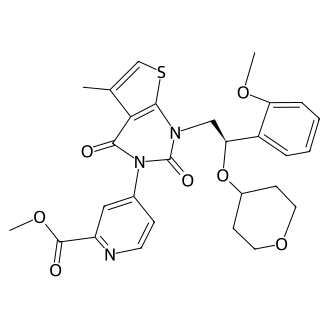 COC(=O)c1cc(-n2c(=O)c3c(C)csc3n(C[C@H](OC3CCOCC3)c3ccccc3OC)c2=O)ccn1